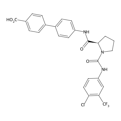 O=C(O)c1ccc(-c2ccc(NC(=O)[C@H]3CCCN3C(=O)Nc3ccc(Cl)c(C(F)(F)F)c3)cc2)cc1